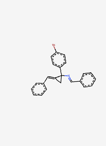 Brc1ccc(C2(N=Cc3ccccc3)CC2=Cc2ccccc2)cc1